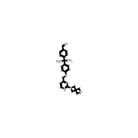 CC(C)(c1ccc(C=O)cc1)c1ccc(OCc2ccnc(N3CC4(COC4)C3)n2)cc1